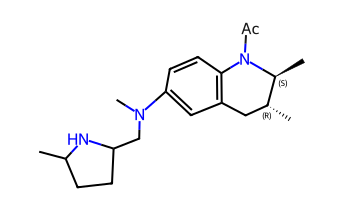 CC(=O)N1c2ccc(N(C)CC3CCC(C)N3)cc2C[C@@H](C)[C@@H]1C